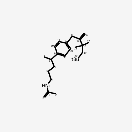 C=C(C)NCCCC(C)c1ccc(CC(=C)C(C)(C)CC(C)(C)C)cc1